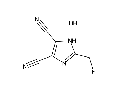 N#Cc1nc(CF)[nH]c1C#N.[LiH]